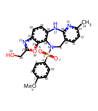 COc1ccc(S(=O)(=O)N2Cc3ccc(C)nc3Nc3ccc4nc(CO)oc4c32)cc1